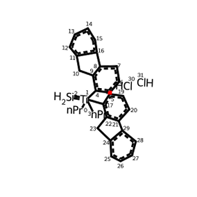 CC[CH2][Ti](=[SiH2])([CH2]CC)([c]1cccc2c1Cc1ccccc1-2)[c]1cccc2c1Cc1ccccc1-2.Cl.Cl